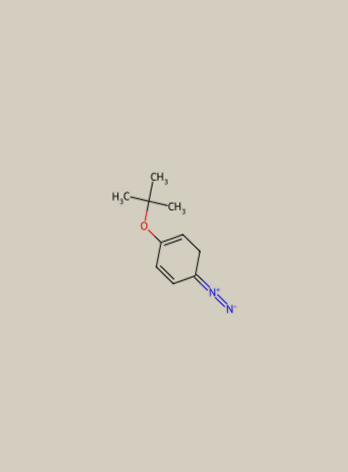 CC(C)(C)OC1=CCC(=[N+]=[N-])C=C1